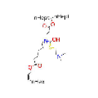 CCCCCC/C=C\COC(=O)CCCCCN(CCC(=O)OC(CCCCCCC)CCCCCCC)C(O)SCCN(C)C